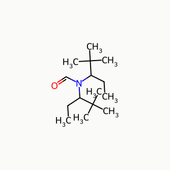 CCC(N(C=O)C(CC)C(C)(C)C)C(C)(C)C